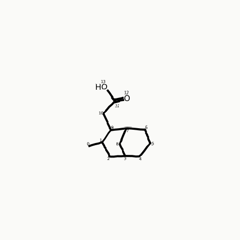 CC1CC2CCCC(C2)C1CC(=O)O